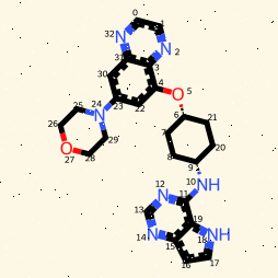 c1cnc2c(O[C@H]3CC[C@@H](Nc4ncnc5cc[nH]c45)CC3)cc(N3CCOCC3)cc2n1